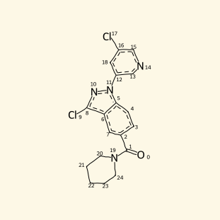 O=C(c1ccc2c(c1)c(Cl)nn2-c1cncc(Cl)c1)N1CCCCC1